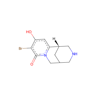 O=c1c(Br)c(O)cc2n1CC1CNC[C@@H]2C1